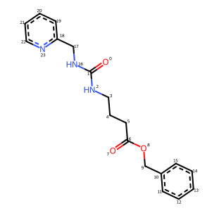 O=C(NCCCC(=O)OCc1ccccc1)NCc1ccccn1